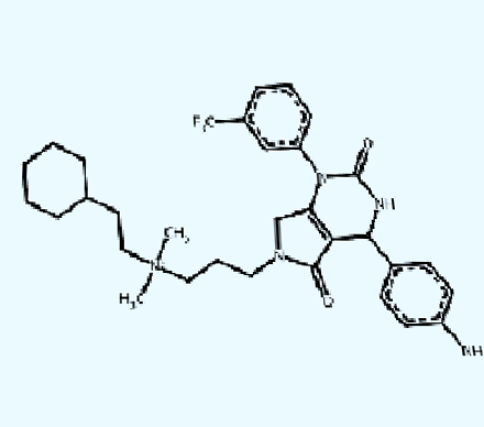 C[N+](C)(CCCN1CC2=C(C1=O)C(c1ccc(N)cc1)NC(=O)N2c1cccc(C(F)(F)F)c1)CCC1CCCCC1